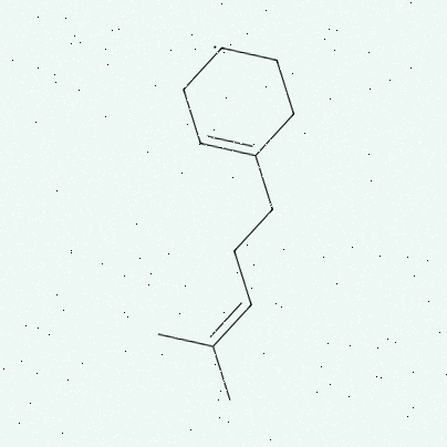 CC(C)=CCCC1=CC[CH]CC1